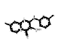 Cc1cccc(Nc2nc3cc(C)ccn3c(=O)c2C(=O)O)c1